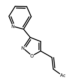 CC(=O)/C=C/c1cc(-c2ccccn2)no1